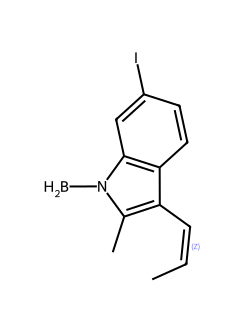 Bn1c(C)c(/C=C\C)c2ccc(I)cc21